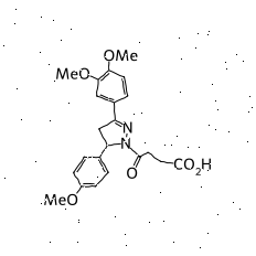 COc1ccc(C2CC(c3ccc(OC)c(OC)c3)=NN2C(=O)CCC(=O)O)cc1